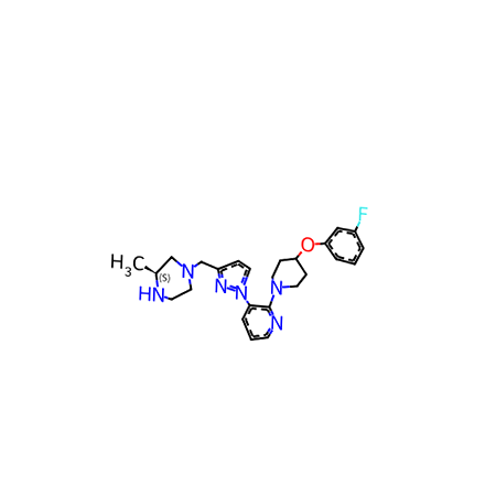 C[C@H]1CN(Cc2ccn(-c3cccnc3N3CCC(Oc4cccc(F)c4)CC3)n2)CCN1